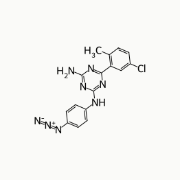 Cc1ccc(Cl)cc1-c1nc(N)nc(Nc2ccc(N=[N+]=[N-])cc2)n1